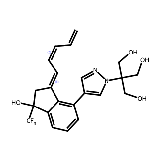 C=C/C=C\C=C1/CC(O)(C(F)(F)F)c2cccc(-c3cnn(C(CO)(CO)CO)c3)c21